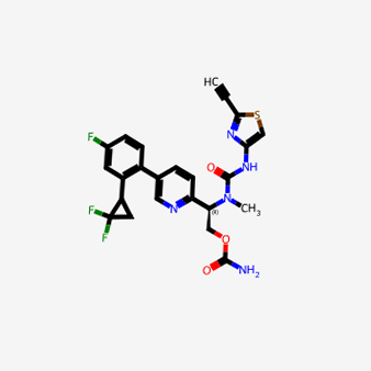 C#Cc1nc(NC(=O)N(C)[C@@H](COC(N)=O)c2ccc(-c3ccc(F)cc3C3CC3(F)F)cn2)cs1